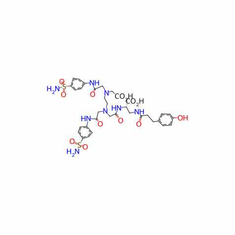 NS(=O)(=O)c1ccc(NC(=O)CN(CCN(CC(=O)Nc2ccc(S(N)(=O)=O)cc2)CC(=O)N[C@@H](CNC(=O)CCc2ccc(O)cc2)C(=O)O)CC(=O)O)cc1